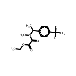 CC(c1ccc(C(F)(F)C(F)(F)F)cc1)N(C)C(=O)C(=O)OCC(F)(F)F